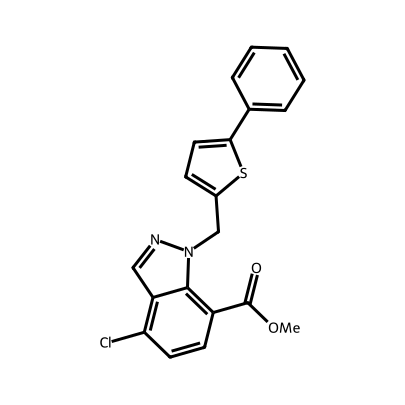 COC(=O)c1ccc(Cl)c2cnn(Cc3ccc(-c4ccccc4)s3)c12